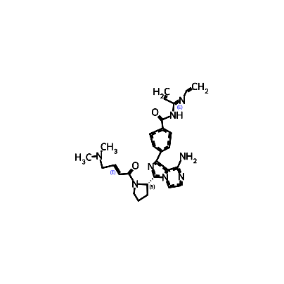 C=C/N=C(\C=C)NC(=O)c1ccc(-c2nc([C@@H]3CCCN3C(=O)/C=C/CN(C)C)n3ccnc(N)c23)cc1